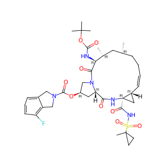 C[C@@H]1CCC=C[C@@H]2C[C@@]2(C(=O)NS(=O)(=O)C2(C)CC2)NC(=O)[C@@H]2C[C@@H](OC(=O)N3Cc4cccc(F)c4C3)CN2C(=O)[C@@H](NC(=O)OC(C)(C)C)[C@H](C)C1